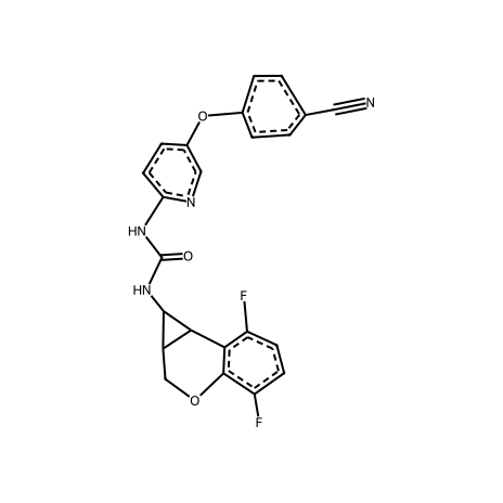 N#Cc1ccc(Oc2ccc(NC(=O)NC3C4COc5c(F)ccc(F)c5C43)nc2)cc1